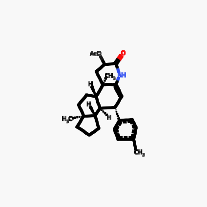 CC(=O)OC1C[C@@]2(C)C(=C[C@H](c3ccc(C)cc3)[C@H]3[C@@H]4CCC[C@@]4(C)CC[C@@H]32)NC1=O